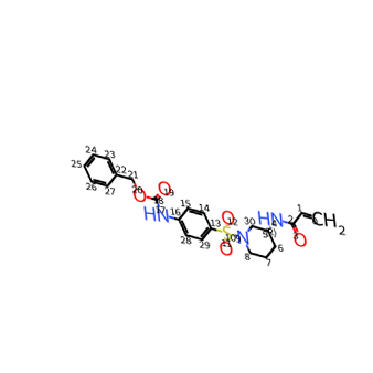 C=CC(=O)N[C@@H]1CCCN(S(=O)(=O)c2ccc(NC(=O)OCc3ccccc3)cc2)C1